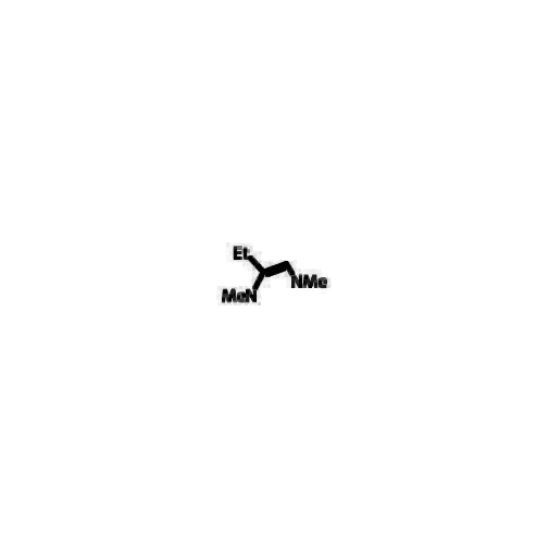 CC/C(=C/NC)NC